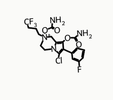 NC(=O)Oc1c(-c2cccc(F)c2)c(Cl)n2c1C[N+](CCCC(F)(F)F)(OC(N)=O)CC2